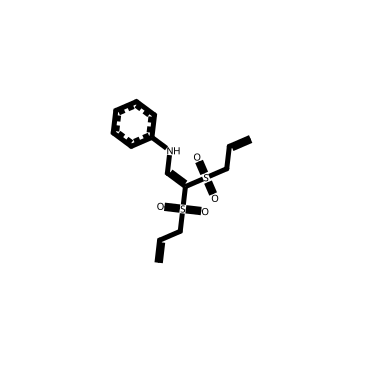 C=CCS(=O)(=O)C(=CNc1ccccc1)S(=O)(=O)CC=C